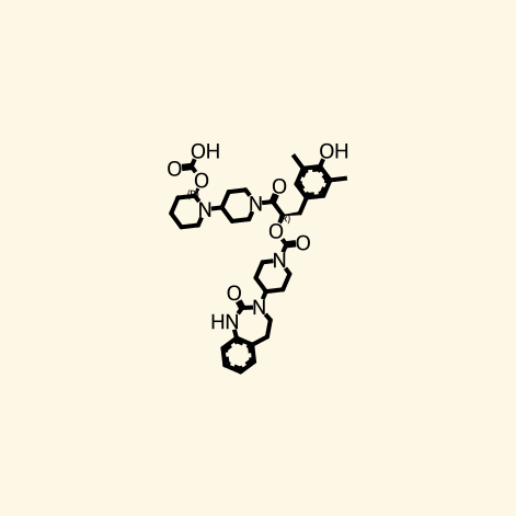 Cc1cc(C[C@@H](OC(=O)N2CCC(N3CCc4ccccc4NC3=O)CC2)C(=O)N2CCC(N3CCCC[C@H]3OC(=O)O)CC2)cc(C)c1O